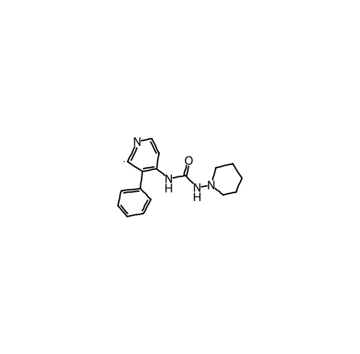 O=C(Nc1ccn[c]c1-c1ccccc1)NN1CCCCC1